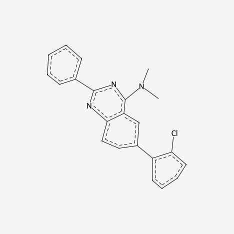 CN(C)c1nc(-c2ccccc2)nc2ccc(-c3ccccc3Cl)cc12